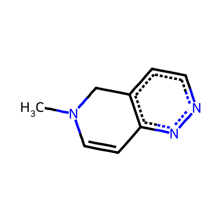 CN1C=Cc2nnccc2C1